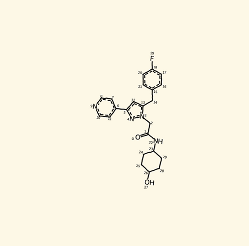 O=C(Cn1nc(-c2ccncc2)cc1Cc1ccc(F)cc1)NC1CCC(O)CC1